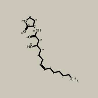 CCCCCC/C=C\CCCC(O)CC(=O)N[C@H]1CCOC1=O